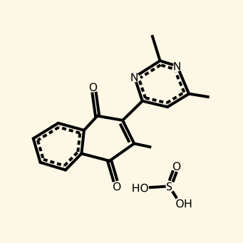 CC1=C(c2cc(C)nc(C)n2)C(=O)c2ccccc2C1=O.O=S(O)O